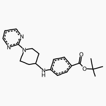 CC(C)(C)OC(=O)c1ccc(NC2CCN(c3ncccn3)CC2)cc1